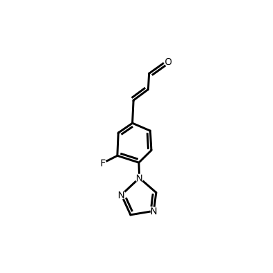 O=CC=Cc1ccc(-n2cncn2)c(F)c1